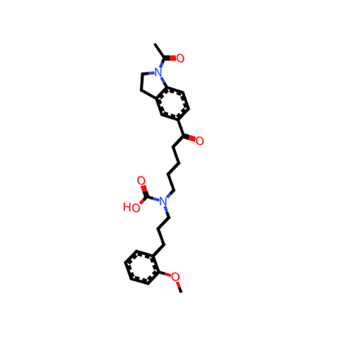 COc1ccccc1CCCN(CCCCC(=O)c1ccc2c(c1)CCN2C(C)=O)C(=O)O